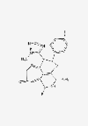 CC1NN(F)C2=CC(=O)CN=C3C2=C1CC(c1ccc(F)cc1)C3c1ncnn1C